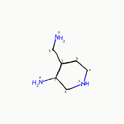 NCC1CCNCC1N